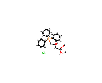 COC(=O)CC(=O)C[P+](c1ccccc1)(c1ccccc1)c1ccccc1.[Cl-]